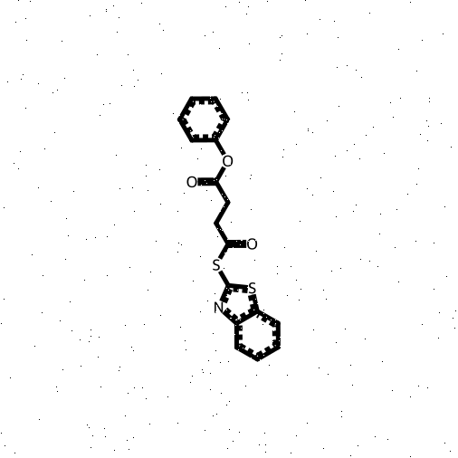 O=C(CCC(=O)Sc1nc2ccccc2s1)Oc1ccccc1